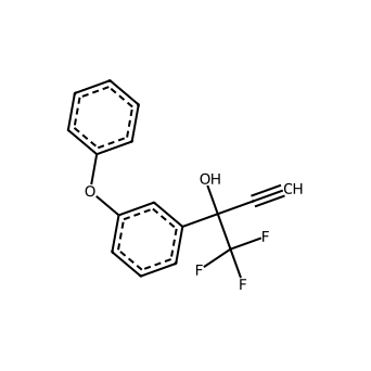 C#CC(O)(c1cccc(Oc2ccccc2)c1)C(F)(F)F